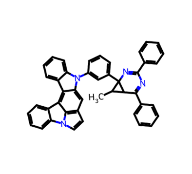 CC1C2C(c3ccccc3)=NC(c3ccccc3)=NC12c1cccc(-n2c3ccccc3c3c4c5ccccc5n5ccc(cc32)c45)c1